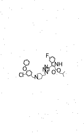 CC(C)COC(=O)c1[nH]c2ccc(F)cc2c1-c1cn(CC2CCN(Cc3ccc(Oc4ccccc4)c(Cl)c3)CC2)nn1